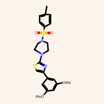 COc1cc(OC)cc(-c2csc(N3CCN(S(=O)(=O)c4ccc(C)cc4)CC3)n2)c1